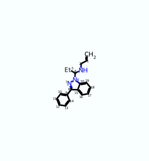 C=CCNC(CC)n1nc(-c2ccccc2)c2ccccc21